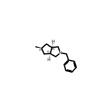 C[C@@H]1C[C@@H]2CN(Cc3ccccc3)C[C@@H]2C1